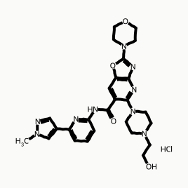 Cl.Cn1cc(-c2cccc(NC(=O)c3cc4oc(N5CCOCC5)nc4nc3N3CCN(CCO)CC3)n2)cn1